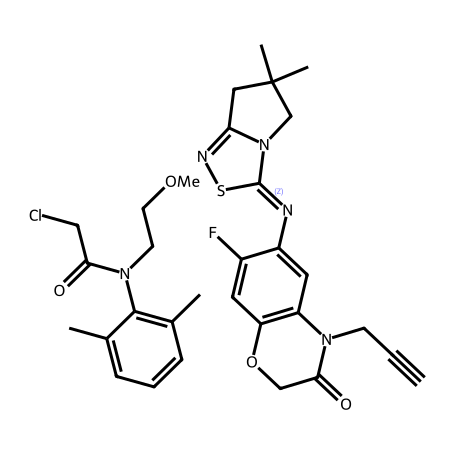 C#CCN1C(=O)COc2cc(F)c(/N=c3\snc4n3CC(C)(C)C4)cc21.COCCN(C(=O)CCl)c1c(C)cccc1C